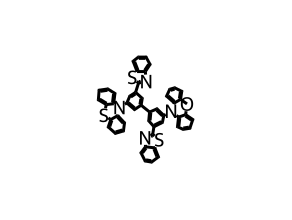 c1ccc2c(c1)Oc1ccccc1N2c1cc(-c2cc(-c3nc4ccccc4s3)cc(N3c4ccccc4Sc4ccccc43)c2)cc(-c2nc3ccccc3s2)c1